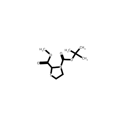 COC(=O)C1SCCN1C(=O)OC(C)(C)C